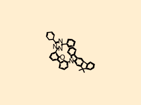 CC1(C)c2ccccc2-c2cc3c4ccccc4n(-c4cccc5c4oc4c(-c6nc(-c7ccccc7)nc(C7C=CC=CC7)n6)cccc45)c3cc21